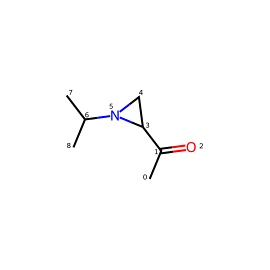 CC(=O)C1CN1C(C)C